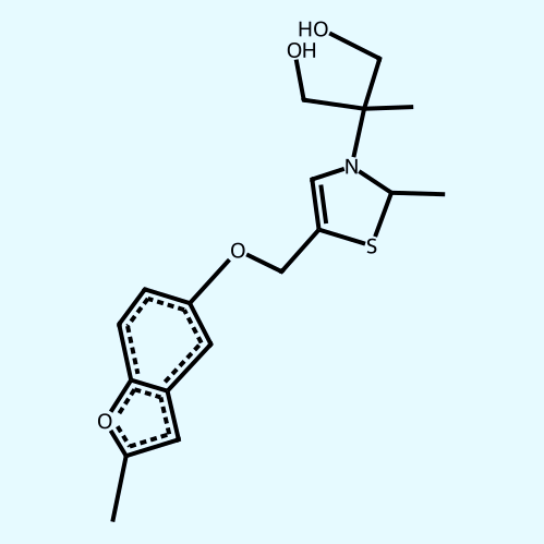 Cc1cc2cc(OCC3=CN(C(C)(CO)CO)C(C)S3)ccc2o1